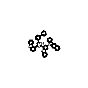 c1ccc(-c2cccc(C3N=C(c4cccc5sc6ccccc6c45)N=C(c4cc(-n5c6ccccc6c6cc7ccccc7cc65)cc5c4oc4ccccc45)N3)c2)cc1